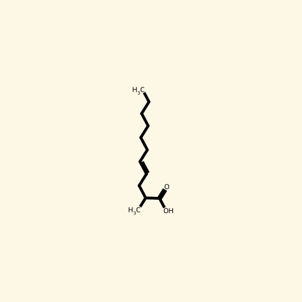 CCCCCCC=CCC(C)C(=O)O